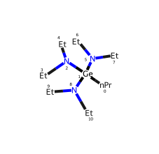 CC[CH2][Ge]([N](CC)CC)([N](CC)CC)[N](CC)CC